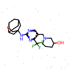 OC1CCCN(Cc2cnc(NC34CCC5CC(CC(C5)C3)C4)nc2C(F)(F)F)C1